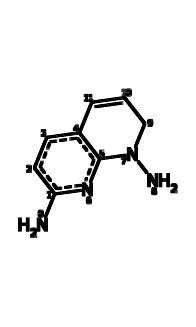 Nc1ccc2c(n1)N(N)CC=C2